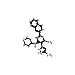 Cc1cc(-c2c(N)nc(-c3ccc4ccccc4c3)nc2NC2CCOCC2)n[nH]1